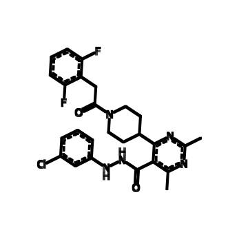 Cc1nc(C)c(C(=O)NNc2cccc(Cl)c2)c(C2CCN(C(=O)Cc3c(F)cccc3F)CC2)n1